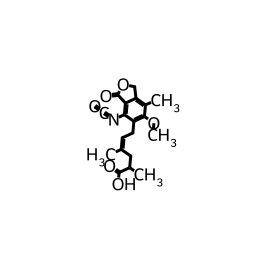 COc1c(C)c2c(c(N=C=O)c1CC=C(C)CC(C)C(=O)O)C(=O)OC2